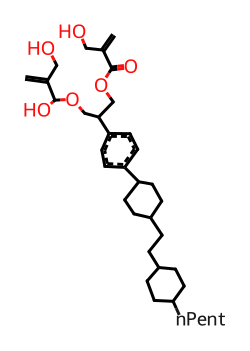 C=C(CO)C(=O)OCC(COC(O)C(=C)CO)c1ccc(C2CCC(CCC3CCC(CCCCC)CC3)CC2)cc1